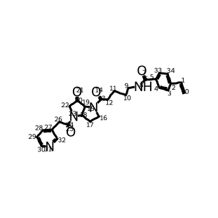 C=Cc1ccc(C(=O)NCCCCC(=O)N2CCC3C2C(=O)CN3C(=O)Cc2cccnc2)cc1